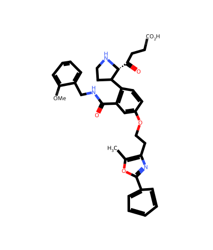 COc1ccccc1CNC(=O)c1cc(OCCc2nc(-c3ccccc3)oc2C)ccc1C1CCN[C@@H]1C(=O)CCC(=O)O